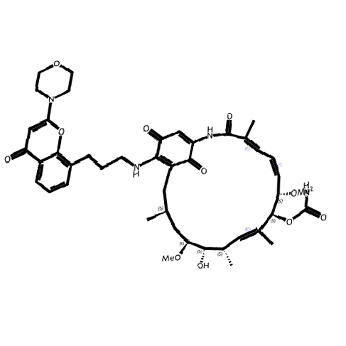 CO[C@H]1/C=C\C=C(/C)C(=O)NC2=CC(=O)C(NCCCc3cccc4c(=O)cc(N5CCOCC5)oc34)=C(C[C@H](C)C[C@H](OC)[C@@H](O)[C@@H](C)/C=C(\C)[C@@H]1OC(N)=O)C2=O